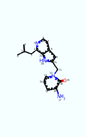 CC(C)Cc1nccc2cc(Cn3cccc(N)c3=O)[nH]c12